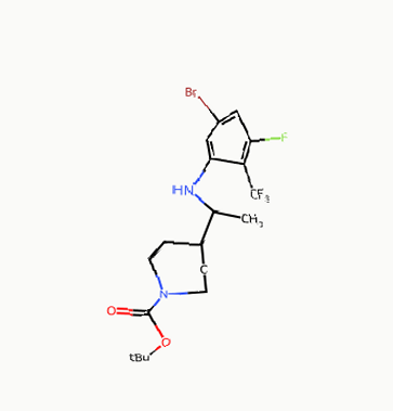 CC(Nc1cc(Br)cc(F)c1C(F)(F)F)C1CCN(C(=O)OC(C)(C)C)CC1